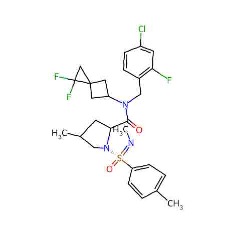 CN=[S@](=O)(c1ccc(C)cc1)N1CC(C)CC1C(=O)N(Cc1ccc(Cl)cc1F)C1CC2(C1)CC2(F)F